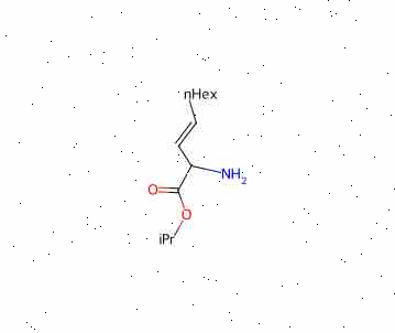 CCCCCC/C=C/C(N)C(=O)OC(C)C